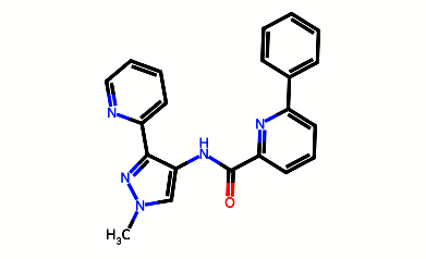 Cn1cc(NC(=O)c2cccc(-c3ccccc3)n2)c(-c2ccccn2)n1